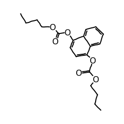 CCCCOC(=O)Oc1ccc(OC(=O)OCCCC)c2ccccc12